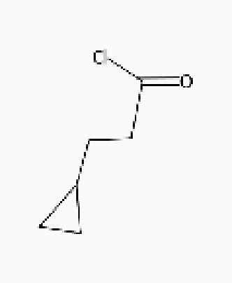 O=C(Cl)CCC1CC1